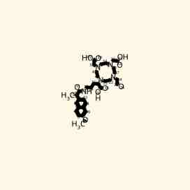 COc1ccc2cc([C@H](C)C(=O)NCCCC(C(=O)O)N3CCN(CC=O)CCN(CC(=O)O)CCN(CC(=O)O)CC3)ccc2c1